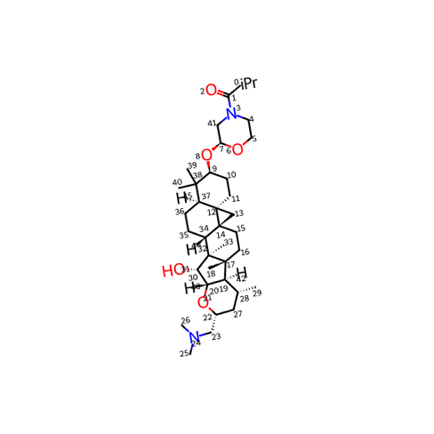 CC(C)C(=O)N1CCO[C@@H](O[C@H]2CC[C@]34C[C@]35CC[C@]3(C)[C@@H]6[C@H](O[C@@H](CN(C)C)C[C@H]6C)[C@H](O)[C@@]3(C)[C@@H]5CC[C@H]4C2(C)C)C1